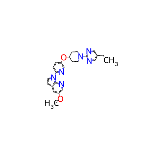 CCc1cnc(N2CCC(Oc3ccc(-n4ccc5cc(OC)cnc54)nc3)CC2)nc1